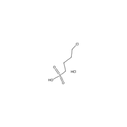 Cl.O=S(=O)(O)CCCCCl